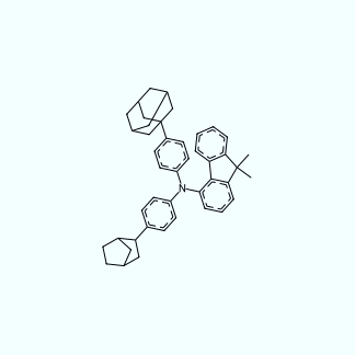 CC1(C)c2ccccc2-c2c(N(c3ccc(C4CC5CCC4C5)cc3)c3ccc(C45CC6CC(CC(C6)C4)C5)cc3)cccc21